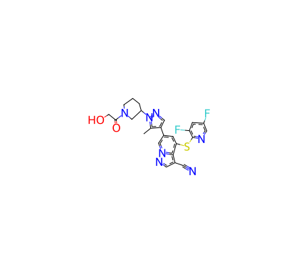 Cc1c(-c2cc(Sc3ncc(F)cc3F)c3c(C#N)cnn3c2)cnn1C1CCCN(C(=O)CO)C1